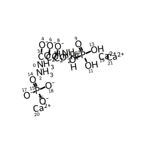 N.N.N.O=C([O-])O.O=C([O-])O.O=C([O-])O.O=P(O)(O)O.O=P([O-])([O-])[O-].[Ca+2].[Ca+2].[Ca+2]